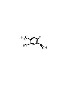 C#Cc1cc(C(C)C)c(C)cc1F